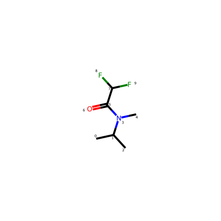 CC(C)N(C)C(=O)C(F)F